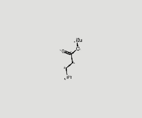 C[CH][C@H](C)OC(=O)CCC(C)C